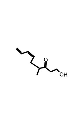 C=C/C=C\CC(C)C(=O)CCO